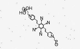 N#Cc1c(C#N)c(/C=C/c2cc[n+](CCP(=O)(O)O)cc2)c(C#N)c(C#N)c1/C=C/C1=CCN(CCP=O)C=C1